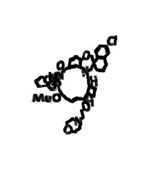 CO[C@H]1C/C=C/[C@H](OCCN2CCOCC2)[C@@H]2CC[C@H]2CN2C[C@@]3(CCCc4cc(Cl)ccc43)COc3ccc(cc32)C(=O)NS(=O)(=O)[C@H]1C[C@H]1CCCO1